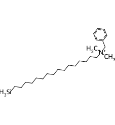 C[N+](C)(CCCCCCCCCCCCCCCC[SiH3])Cc1ccccc1